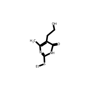 CCSc1nc(C)c(CCO)c(=O)[nH]1